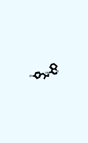 CC(CNC1=CC=NC2CCCC=C12)Cc1ccc(C(C)C)cc1